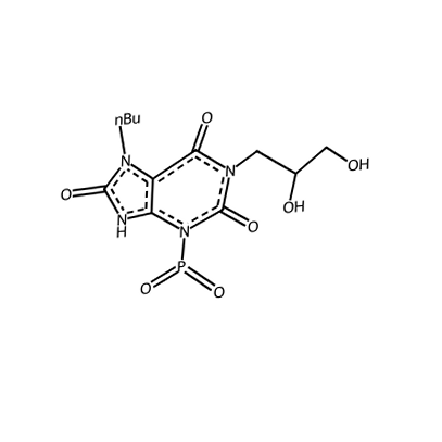 CCCCn1c(=O)[nH]c2c1c(=O)n(CC(O)CO)c(=O)n2P(=O)=O